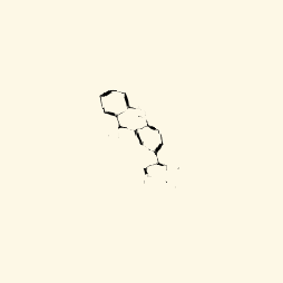 C=CC(=O)c1ccc2sc3ccccc3c(=O)c2c1